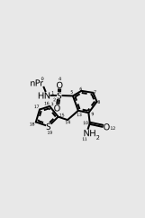 CCCNS(=O)(=O)c1cccc(C(N)=O)c1Cc1cccs1